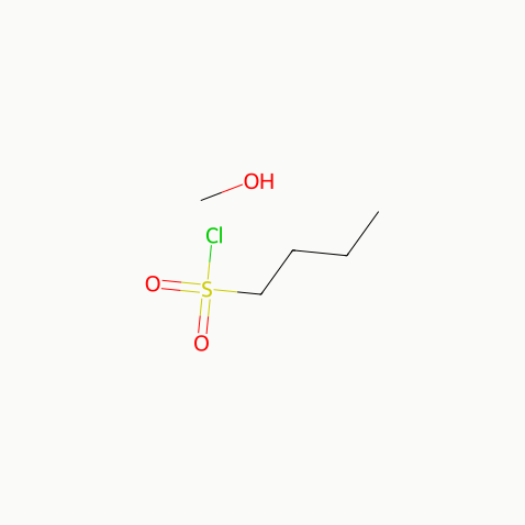 CCCCS(=O)(=O)Cl.CO